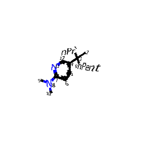 CCCCCC(C)(CCC)c1ccc(N(C)C)nc1